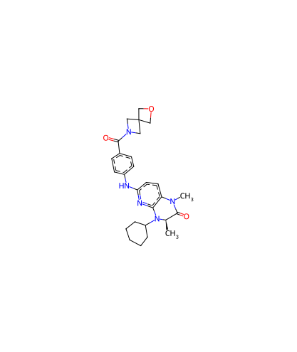 C[C@@H]1C(=O)N(C)c2ccc(Nc3ccc(C(=O)N4CC5(COC5)C4)cc3)nc2N1C1CCCCC1